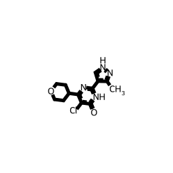 Cc1n[nH]cc1-c1nc(C2CCOCC2)c(Cl)c(=O)[nH]1